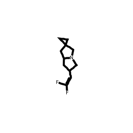 FC(F)=CC1CC2CC3(CC3)CN2C1